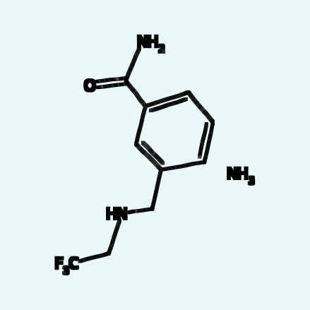 N.NC(=O)c1cccc(CNCC(F)(F)F)c1